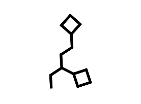 CCC(CCC1CCC1)[C]1CCC1